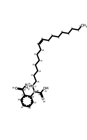 CCCCCCCC/C=C\CCCCCCCNN(C(=O)O)c1ccccc1C(N)=O